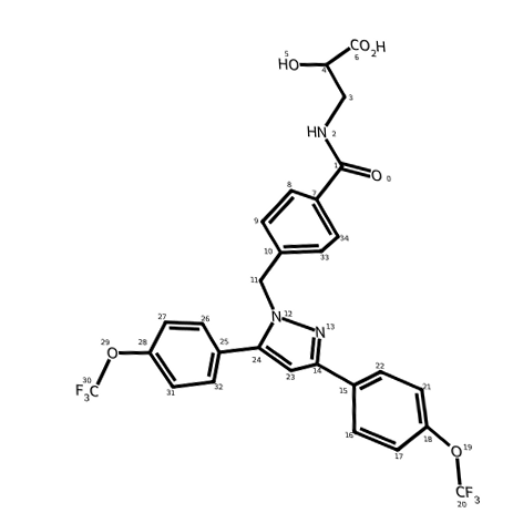 O=C(NCC(O)C(=O)O)c1ccc(Cn2nc(-c3ccc(OC(F)(F)F)cc3)cc2-c2ccc(OC(F)(F)F)cc2)cc1